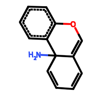 NC12C=CC=CC1=COc1ccccc12